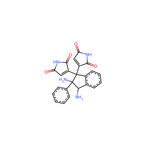 NC1c2ccccc2C(C2=CC(=O)NC2=O)(C2=CC(=O)NC2=O)C1(N)c1ccccc1